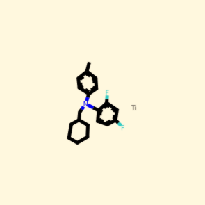 Cc1ccc(N(CC2CCCCC2)c2ccc(F)[c]c2F)cc1.[Ti]